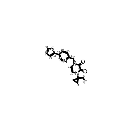 O=c1c(=O)n(C2(CF)CC2)ccn1Cc1ccc(-c2cncs2)nn1